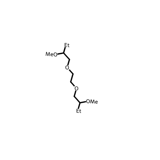 CCC(COCCOCC(CC)OC)OC